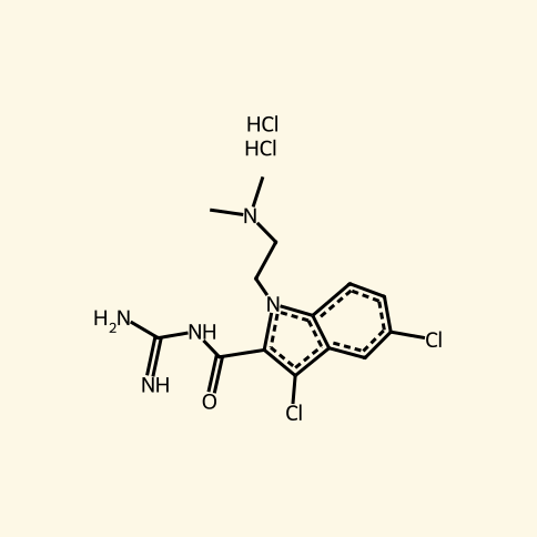 CN(C)CCn1c(C(=O)NC(=N)N)c(Cl)c2cc(Cl)ccc21.Cl.Cl